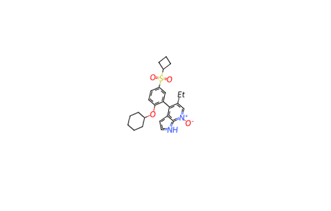 CCc1c[n+]([O-])c2[nH]ccc2c1-c1cc(S(=O)(=O)C2CCC2)ccc1OC1CCCCC1